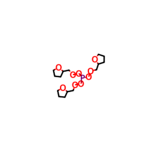 C1COC(COOP(OOCC2CCCO2)OOCC2CCCO2)C1